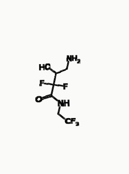 NCC(O)C(F)(F)C(=O)NCC(F)(F)F